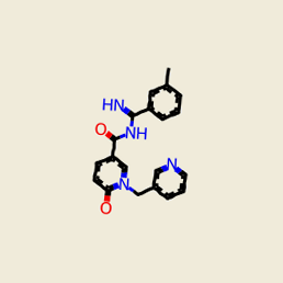 Cc1cccc(C(=N)NC(=O)c2ccc(=O)n(Cc3cccnc3)c2)c1